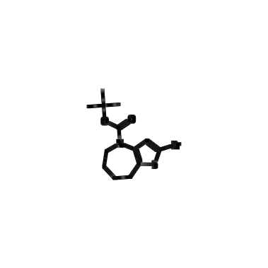 CC(C)(C)OC(=O)N1CCCCc2sc(Br)cc21